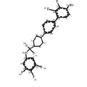 CCCc1ccc(-c2ccc(C3CCC(C(F)(F)Oc4cc(F)c(F)c(F)c4)CC3)cc2)c(F)c1F